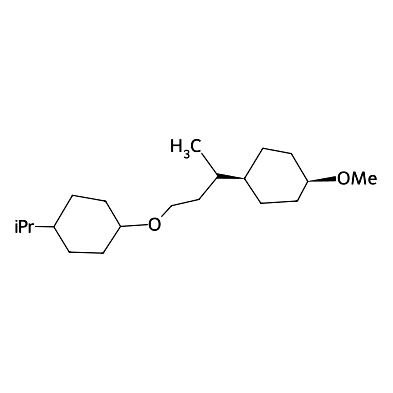 CO[C@H]1CC[C@@H](C(C)CCOC2CCC(C(C)C)CC2)CC1